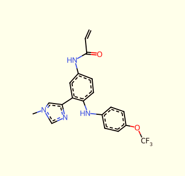 C=CC(=O)Nc1ccc(Nc2ccc(OC(F)(F)F)cc2)c(-c2cn(C)cn2)c1